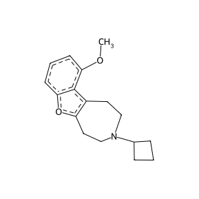 COc1cccc2oc3c(c12)CCN(C1CCC1)CC3